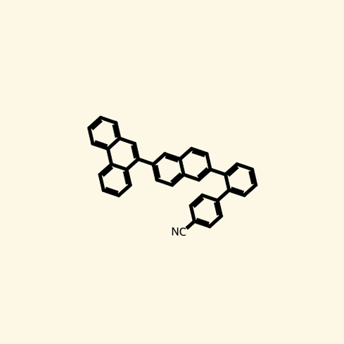 N#Cc1ccc(-c2ccccc2-c2ccc3cc(-c4cc5ccccc5c5ccccc45)ccc3c2)cc1